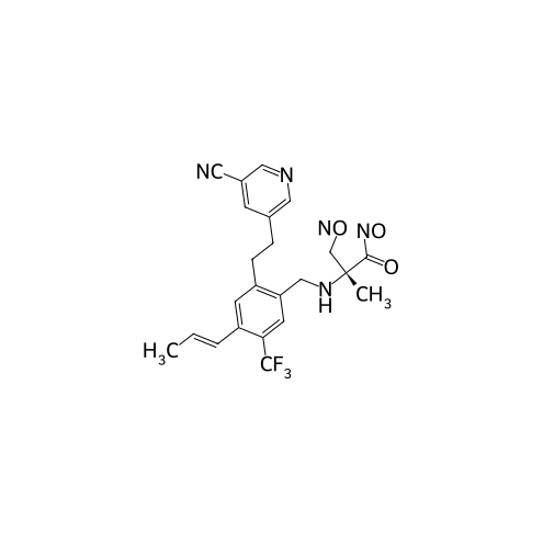 C/C=C/c1cc(CCc2cncc(C#N)c2)c(CN[C@](C)(CN=O)C(=O)N=O)cc1C(F)(F)F